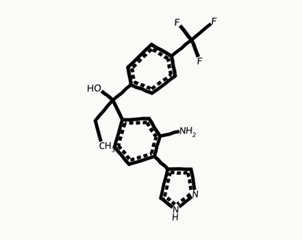 CCC(O)(c1ccc(C(F)(F)F)cc1)c1ccc(-c2cn[nH]c2)c(N)c1